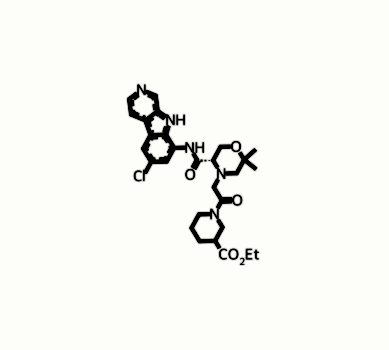 CCOC(=O)C1CCCN(C(=O)CN2CC(C)(C)OC[C@H]2C(=O)Nc2cc(Cl)cc3c2[nH]c2cnccc23)C1